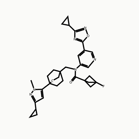 Cn1nc(C2CC2)cc1C12CCC(CN(C(=O)C34CC(F)(C3)C4)c3cncc(-c4nc(C5CC5)no4)c3)(CC1)CC2